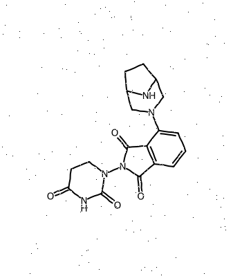 O=C1CCN(N2C(=O)c3cccc(N4CC5CCC(C4)N5)c3C2=O)C(=O)N1